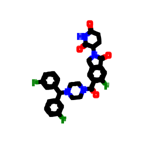 O=C1CCC(N2Cc3cc(C(=O)N4CCN(C(c5cccc(F)c5)c5cccc(F)c5)CC4)c(F)cc3C2=O)C(=O)N1